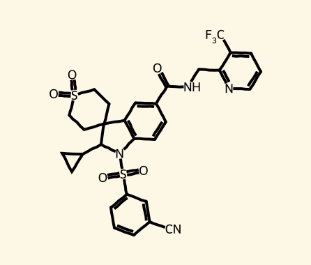 N#Cc1cccc(S(=O)(=O)N2c3ccc(C(=O)NCc4ncccc4C(F)(F)F)cc3C3(CCS(=O)(=O)CC3)C2C2CC2)c1